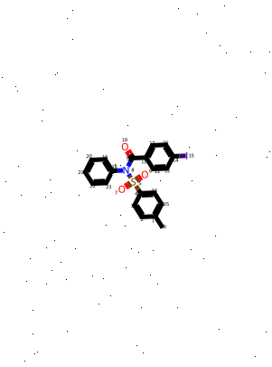 Cc1ccc(S(=O)(=O)N(C(=O)c2ccc(I)cc2)c2ccccc2)cc1